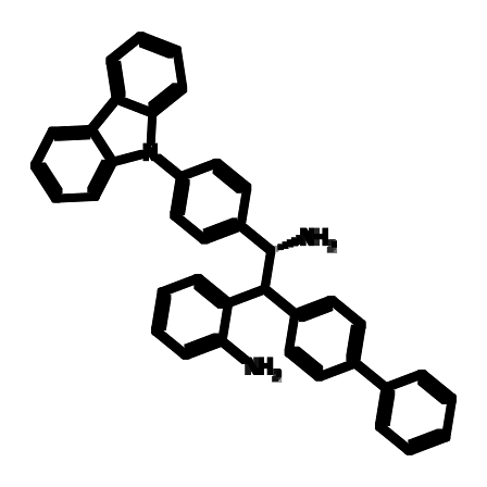 Nc1ccccc1C(c1ccc(-c2ccccc2)cc1)[C@@H](N)c1ccc(-n2c3ccccc3c3ccccc32)cc1